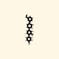 CCc1cccc(-c2ccc(-c3ccc(-c4ccc(C)cc4)c(F)c3)cc2)c1